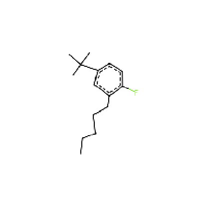 CCCCCc1cc(C(C)(C)C)ccc1F